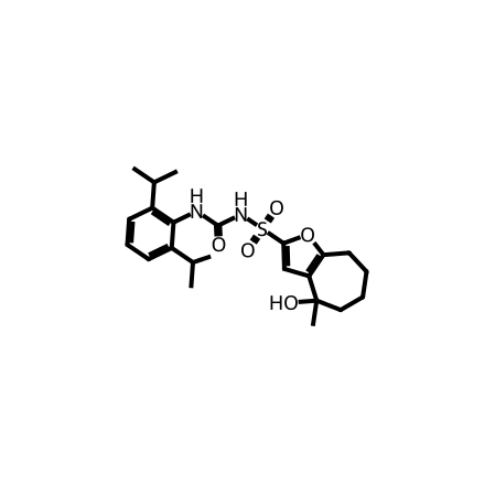 CC(C)c1cccc(C(C)C)c1NC(=O)NS(=O)(=O)c1cc2c(o1)CCCCC2(C)O